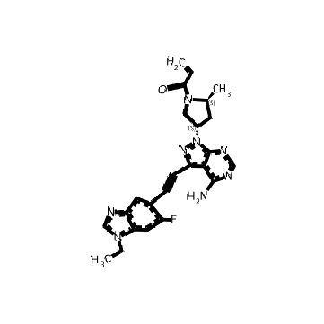 C=CC(=O)N1C[C@@H](n2nc(C#Cc3cc4ncn(CC)c4cc3F)c3c(N)ncnc32)C[C@@H]1C